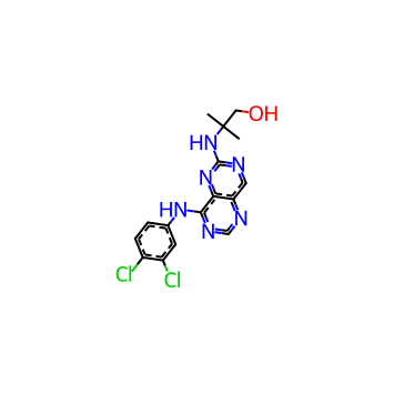 CC(C)(CO)Nc1ncc2ncnc(Nc3ccc(Cl)c(Cl)c3)c2n1